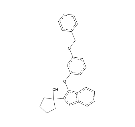 OC1(c2sc3ccccc3c2Oc2cccc(OCc3ccccc3)c2)CCCC1